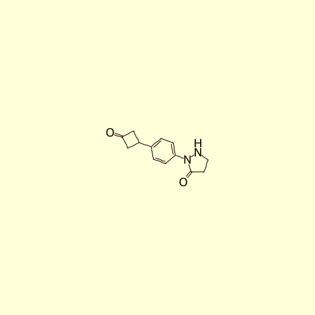 O=C1CC(c2ccc(N3NCCC3=O)cc2)C1